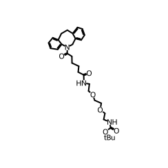 CC(C)(C)OC(=O)NCCOCCOCCNC(=O)CCCCC(=O)N1Cc2ccccc2CCc2ccccc21